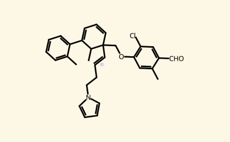 Cc1cc(OCC2(/C=C/CCn3cccc3)C=CC=C(c3ccccc3C)C2C)c(Cl)cc1C=O